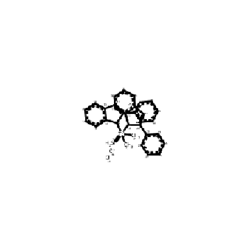 [CH3][Ti+2]([CH3])(=[SiH2])([CH]1C(c2ccccc2)=Cc2ccccc21)[CH]1C(c2ccccc2)=Cc2ccccc21.[Cl-].[Cl-]